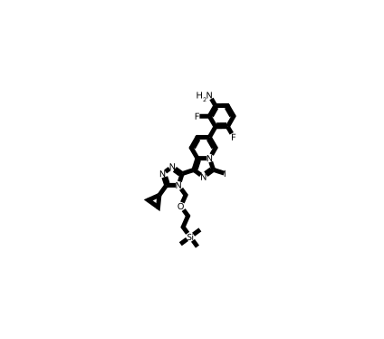 C[Si](C)(C)CCOCn1c(-c2nc(I)n3cc(-c4c(F)ccc(N)c4F)ccc23)nnc1C1CC1